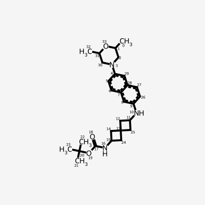 CC1CN(c2ccc3cc(NC4CC5(CC(NC(=O)OC(C)(C)C)C5)C4)ccc3c2)CC(C)O1